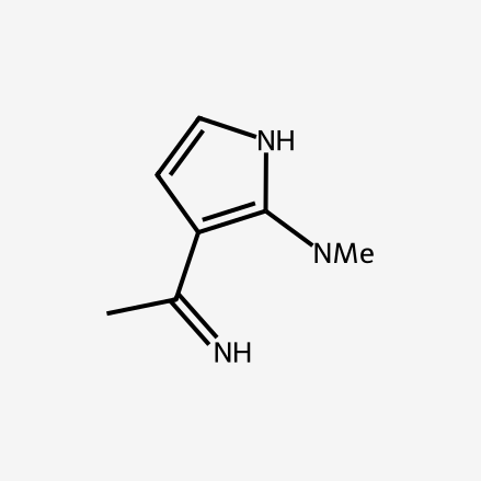 CNc1[nH]ccc1C(C)=N